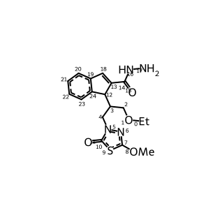 CCOCC(Cn1nc(OC)sc1=O)C1C(C(=O)NN)=Cc2ccccc21